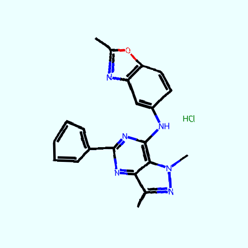 Cc1nc2cc(Nc3nc(-c4ccccc4)nc4c(C)nn(C)c34)ccc2o1.Cl